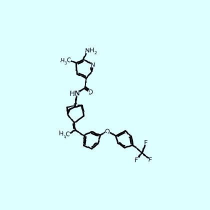 CC(=C1CC2CCC1CC2NC(=O)c1cnc(N)c(C)c1)c1cccc(Oc2ccc(C(F)(F)F)cc2)c1